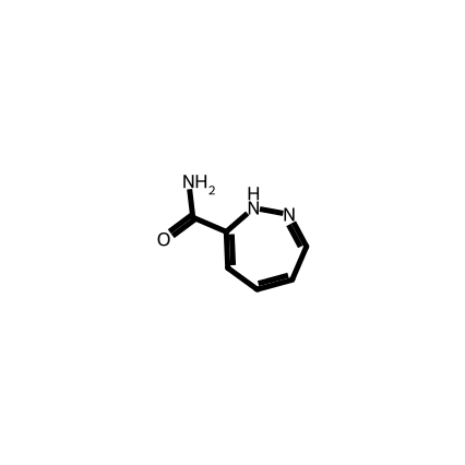 NC(=O)C1=CC=CC=NN1